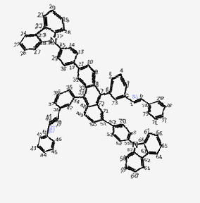 C(=C\c1cccc(-c2c3ccc(-c4ccc(-n5c6ccccc6c6ccccc65)cc4)cc3c(-c3cccc(/C=C/c4ccccc4)c3)c3ccc(-c4ccc(-n5c6ccccc6c6ccccc65)cc4)cc23)c1)/c1ccccc1